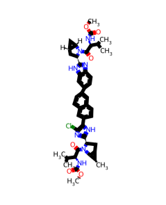 COC(=O)N[C@H](C(=O)N1C2C(C[C@H]1c1nc(Cl)c(-c3ccc4cc(-c5ccc6nc([C@@H]7C[C@H]8C[C@H]8N7C(=O)[C@@H](NC(=O)OC)C(C)C)[nH]c6c5)ccc4c3)[nH]1)[C@H]2C)C(C)C